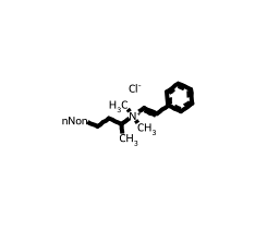 CCCCCCCCCCCC(C)[N+](C)(C)C=Cc1ccccc1.[Cl-]